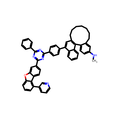 CNc1ccc2c(c1)CCCCCCCc1cc(-c3ccc(-c4nc(-c5ccccc5)nc(-c5ccc6c(c5)oc5cccc(-c7cccnc7)c56)n4)cc3)c3ccccc3c1-2